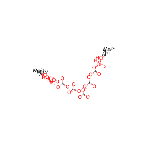 O.O.O.O=C([O-])[O-].O=C([O-])[O-].O=C([O-])[O-].O=C([O-])[O-].O=C([O-])[O-].[Al+3].[Al+3].[Al+3].[Mn+2].[Mn+2].[Mn+2].[OH-].[OH-].[OH-].[OH-].[OH-]